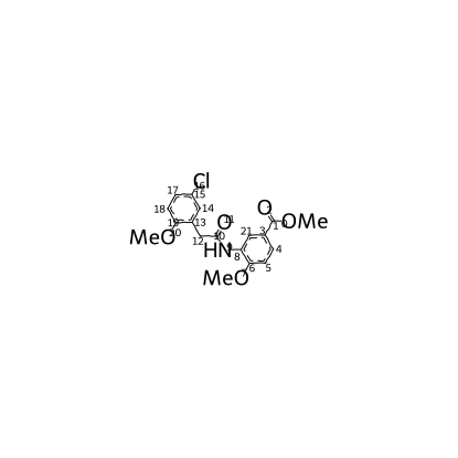 COC(=O)c1ccc(OC)c(NC(=O)Cc2cc(Cl)ccc2OC)c1